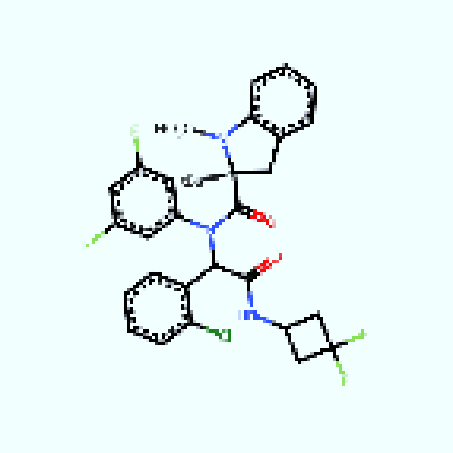 CC(C)(C)[C@]1(C(=O)N(c2cc(F)cc(F)c2)C(C(=O)NC2CC(F)(F)C2)c2ccccc2Cl)Cc2ccccc2N1C(=O)O